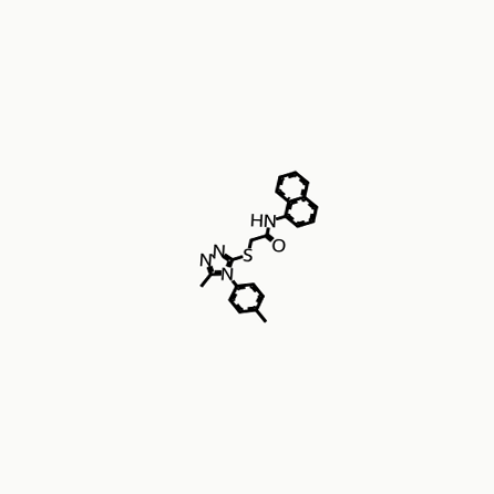 Cc1ccc(-n2c(C)nnc2SCC(=O)Nc2cccc3ccccc23)cc1